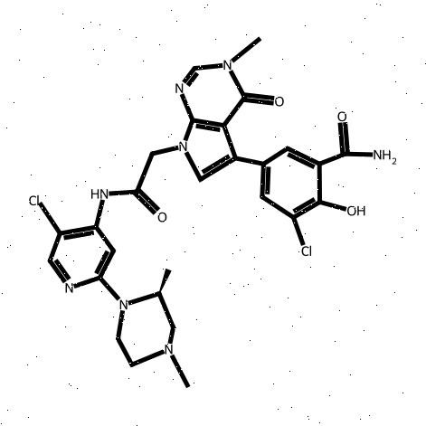 C[C@H]1CN(C)CCN1c1cc(NC(=O)Cn2cc(-c3cc(Cl)c(O)c(C(N)=O)c3)c3c(=O)n(C)cnc32)c(Cl)cn1